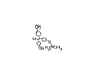 CC/C(=C(\c1ccc(O)cc1)c1ccc(OCCN(C)C)cc1)c1ccc(O)cc1